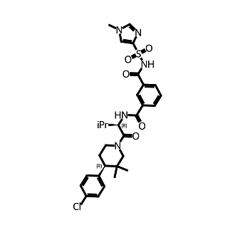 CC(C)[C@@H](NC(=O)c1cccc(C(=O)NS(=O)(=O)c2cn(C)cn2)c1)C(=O)N1CC[C@H](c2ccc(Cl)cc2)C(C)(C)C1